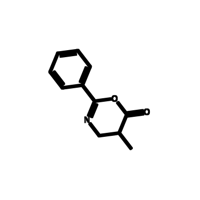 CC1CN=C(c2ccccc2)OC1=O